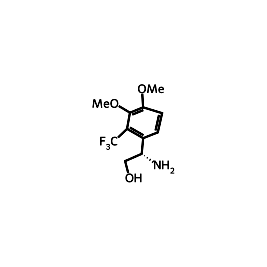 COc1ccc([C@H](N)CO)c(C(F)(F)F)c1OC